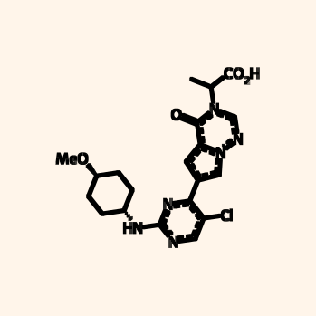 CO[C@H]1CC[C@H](Nc2ncc(Cl)c(-c3cc4c(=O)n(C(C)C(=O)O)cnn4c3)n2)CC1